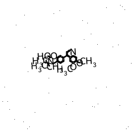 COc1cc2nccc(-c3ccc(CN(C(=O)O)C(C)(C)C)cc3)c2cc1OC